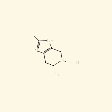 O=C(O)[C@@H]1Cc2nc(I)[nH]c2CN1C(=O)O